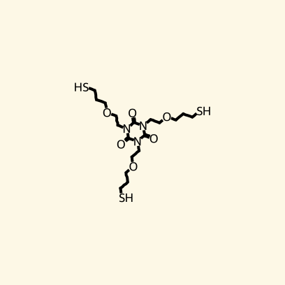 O=c1n(CCOCCCS)c(=O)n(CCOCCCS)c(=O)n1CCOCCCS